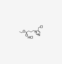 CCOC(=O)CCCn1cncc1CCl.Cl